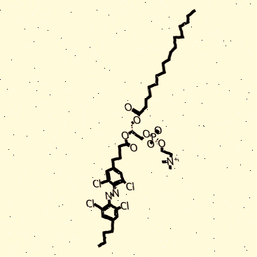 CCCCCCCCCCCCCCCCCC(=O)OC[C@H](COP(=O)([O-])OCC[N+](C)(C)C)OC(=O)CCCc1cc(Cl)c(N=Nc2c(Cl)cc(CCCC)cc2Cl)c(Cl)c1